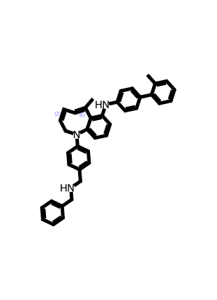 C/C1=C\C=C/CN(c2ccc(CNCc3ccccc3)cc2)c2cccc(Nc3ccc(-c4ccccc4C)cc3)c21